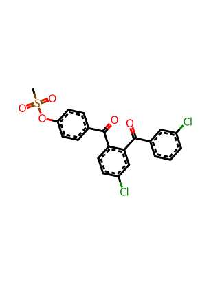 CS(=O)(=O)Oc1ccc(C(=O)c2ccc(Cl)cc2C(=O)c2cccc(Cl)c2)cc1